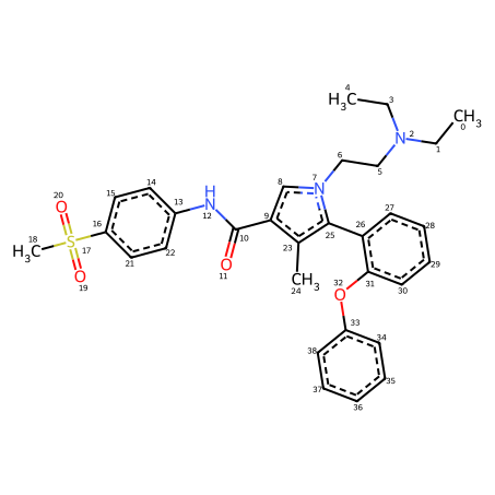 CCN(CC)CCn1cc(C(=O)Nc2ccc(S(C)(=O)=O)cc2)c(C)c1-c1ccccc1Oc1ccccc1